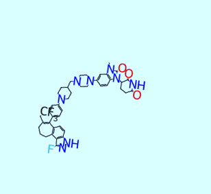 Cn1c(=O)n([C@@H]2CCC(=O)NC2=O)c2ccc(N3CCN(CC4CCN(c5ccc(C6=C(CC(F)(F)F)CCCc7c6ccc6[nH]nc(F)c76)cc5)CC4)CC3)cc21